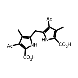 CC(=O)c1c(Cc2[nH]c(C(=O)O)c(C(C)=O)c2C)[nH]c(C(=O)O)c1C